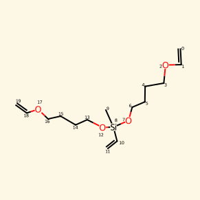 C=COCCCCO[Si](C)(C=C)OCCCCOC=C